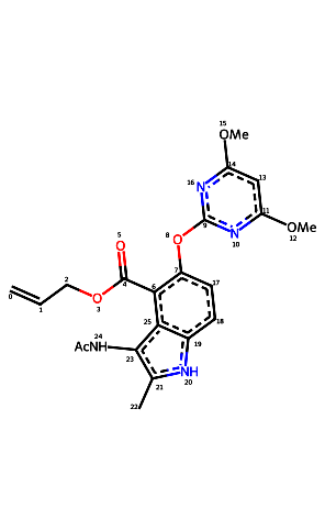 C=CCOC(=O)c1c(Oc2nc(OC)cc(OC)n2)ccc2[nH]c(C)c(NC(C)=O)c12